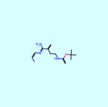 C=C(NCCC(=C)/C(N)=N/C=C\C)OC(C)(C)C